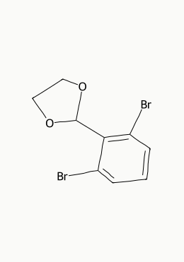 Brc1cccc(Br)c1C1OCCO1